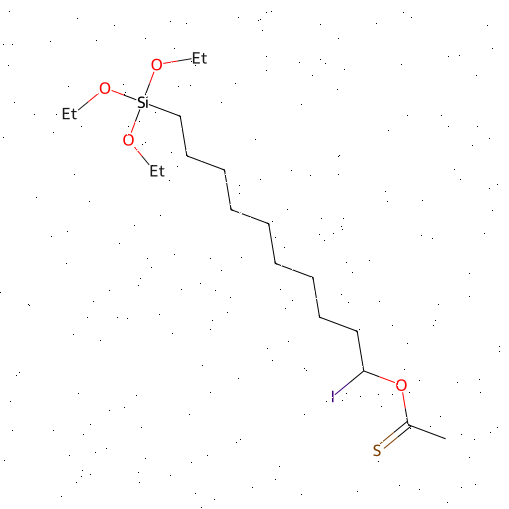 CCO[Si](CCCCCCCCCC(I)OC(C)=S)(OCC)OCC